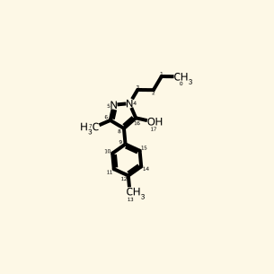 CCCCn1nc(C)c(-c2ccc(C)cc2)c1O